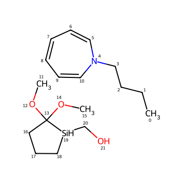 CCCCN1C=CC=CC=C1.COC1(OC)CCC[SiH]1CO